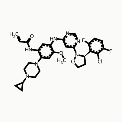 C=CC(=O)Nc1cc(Nc2cc(N3OCC[C@@H]3c3c(F)ccc(F)c3Cl)ncn2)c(OC)cc1N1CCN(C2CC2)CC1